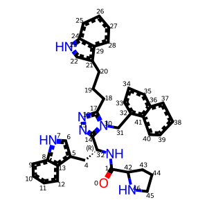 O=C(N[C@H](Cc1c[nH]c2ccccc12)c1nnc(CCCc2c[nH]c3ccccc23)n1Cc1cccc2ccccc12)C1CCCN1